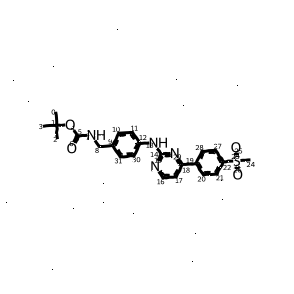 CC(C)(C)OC(=O)NCc1ccc(Nc2nccc(-c3ccc(S(C)(=O)=O)cc3)n2)cc1